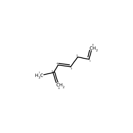 C=CCC=CC(=C)C